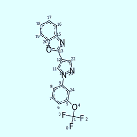 FC(F)(F)Oc1cccc(-n2cc(-c3nc4ccccc4o3)cn2)c1